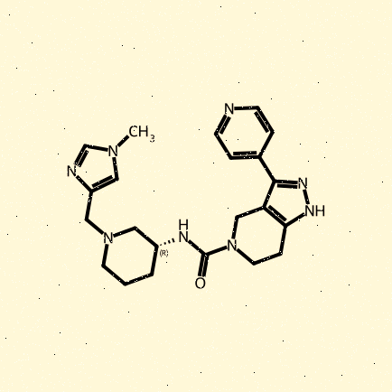 Cn1cnc(CN2CCC[C@@H](NC(=O)N3CCc4[nH]nc(-c5ccncc5)c4C3)C2)c1